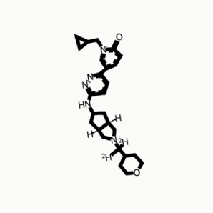 [2H]C([2H])(C1CCOCC1)N1C[C@H]2CC(Nc3ccc(-c4ccc(=O)n(CC5CC5)c4)nn3)C[C@H]2C1